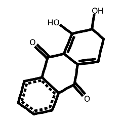 O=C1C2=CCC(O)C(O)=C2C(=O)c2ccccc21